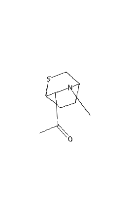 CC(=O)C1C2CCC(CS2)N1C